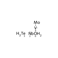 O.[Mo].[Nb].[TeH2].[V]